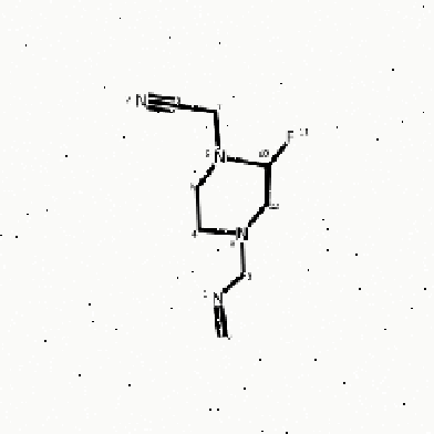 C=NCN1CCN(CC#N)C(F)C1